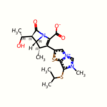 CC(C)Sc1c2sc(C3=C(C(=O)[O-])N4C(=O)[C@H]([C@@H](C)O)[C@H]4[C@H]3C)c[n+]2cn1C